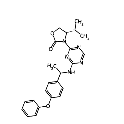 CC(Nc1ncnc(N2C(=O)OC[C@@H]2C(C)C)n1)c1ccc(Oc2ccccc2)cc1